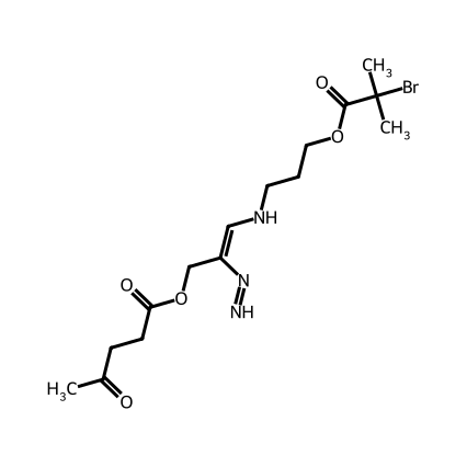 CC(=O)CCC(=O)OC/C(=C/NCCCOC(=O)C(C)(C)Br)N=N